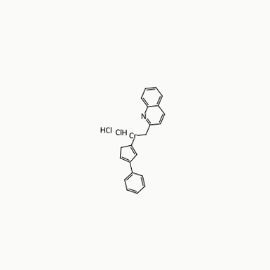 C1=[C]([Cr][CH2]c2ccc3ccccc3n2)CC=C1c1ccccc1.Cl.Cl